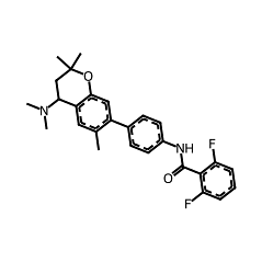 Cc1cc2c(cc1-c1ccc(NC(=O)c3c(F)cccc3F)cc1)OC(C)(C)CC2N(C)C